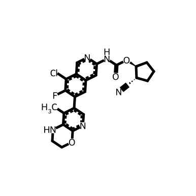 Cc1c(-c2cc3cc(NC(=O)O[C@H]4CCC[C@@H]4C#N)ncc3c(Cl)c2F)cnc2c1NCCO2